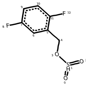 O=[SH](=O)O[CH]c1cc(F)ccc1F